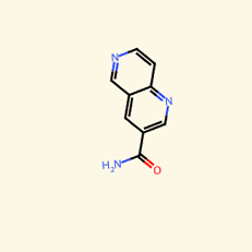 NC(=O)c1cnc2ccncc2c1